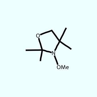 CON1C(C)(C)COC1(C)C